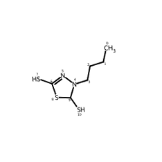 CCCCN1N=C(S)SC1S